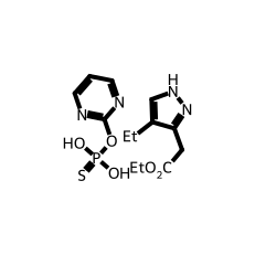 CCOC(=O)Cc1n[nH]cc1CC.OP(O)(=S)Oc1ncccn1